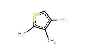 Bc1csc(C)c1C